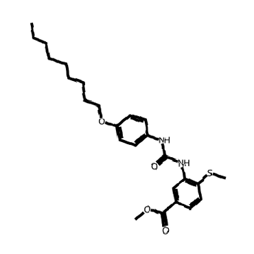 CCCCCCCCCOc1ccc(NC(=O)Nc2cc(C(=O)OC)ccc2SC)cc1